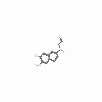 C=CCN(C)c1ccc2cc(C=O)c(O)cc2c1